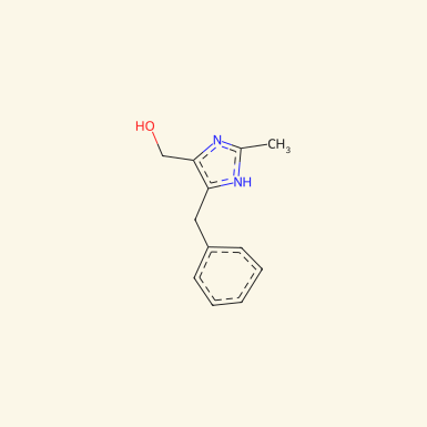 Cc1nc(CO)c(Cc2ccccc2)[nH]1